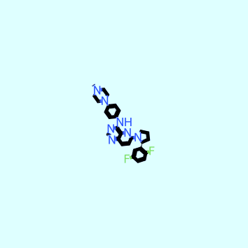 CN1CCN(c2ccc(Nc3ncnc4ccc(N5CCC[C@@H]5c5cc(F)ccc5F)nc34)cc2)CC1